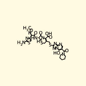 CO/N=C(\C(=O)N[C@@H]1C(=O)N2C(C(=O)O)=C(CSc3nc4ncc(C(=O)N5CCCCC5)c(O)n4n3)CS[C@H]12)c1csc(N)n1